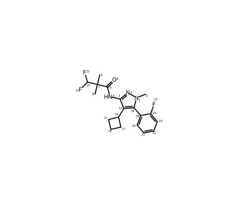 Cn1nc(NC(=O)C(C)(C)C(F)F)c(C2CCC2)c1-c1ccccc1F